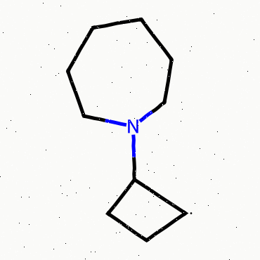 [CH]1CCC1N1CCCCCC1